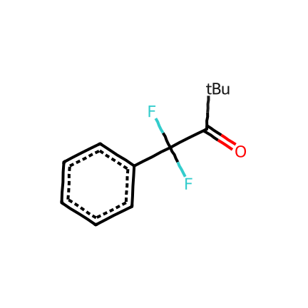 CC(C)(C)C(=O)C(F)(F)c1ccccc1